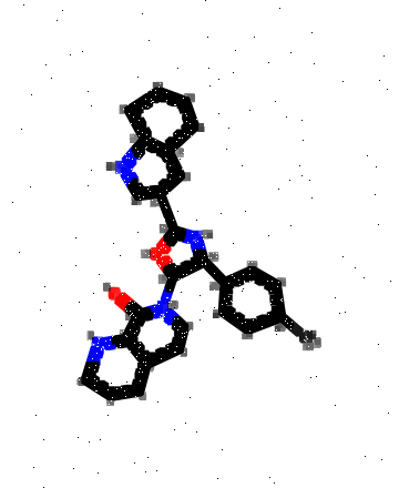 O=c1c2ncccc2ccn1-c1oc(-c2cnc3ccccc3c2)nc1-c1ccc(C(F)(F)F)cc1